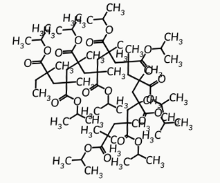 CCC(C)(CC(C)(CC(C)(CC(C)(CC(C)(CC(C)(CC(C)(CC(C)(CC(C)(CC(C)(C)C(=O)OC(C)C)C(=O)OC(C)C)C(=O)OC(C)C)C(=O)OC(C)C)C(=O)OC(C)C)C(=O)OC(C)C)C(=O)OC(C)C)C(=O)OC(C)C)C(=O)OC(C)C)C(=O)OC(C)C